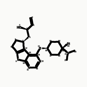 C=C[C@H](O)C[C@H]1CCc2sc3ncnc(O[C@H]4CC[C@@](CC)(N(C)C)CC4)c3c21